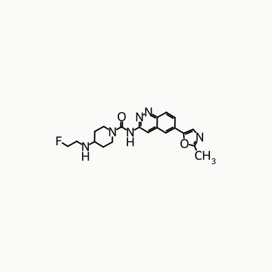 Cc1ncc(-c2ccc3nnc(NC(=O)N4CCC(NCCF)CC4)cc3c2)o1